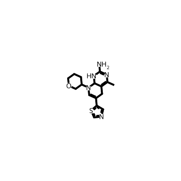 CC1=C2CC(c3cncs3)=CN(C3CCCOC3)C2NC(N)=N1